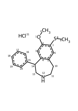 COc1cc2c(cc1SC)CCNCC2c1ccccc1.Cl